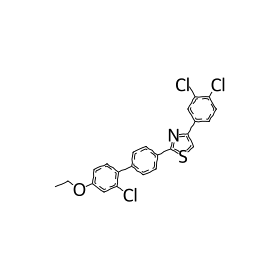 CCOc1ccc(-c2ccc(-c3nc(-c4ccc(Cl)c(Cl)c4)cs3)cc2)c(Cl)c1